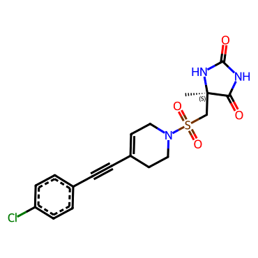 C[C@]1(CS(=O)(=O)N2CC=C(C#Cc3ccc(Cl)cc3)CC2)NC(=O)NC1=O